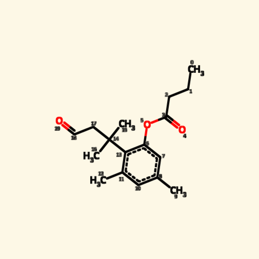 CCCC(=O)Oc1cc(C)cc(C)c1C(C)(C)CC=O